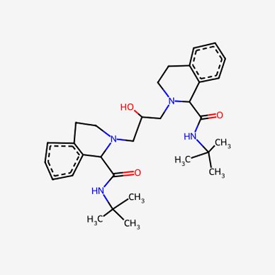 CC(C)(C)NC(=O)C1c2ccccc2CCN1CC(O)CN1CCc2ccccc2C1C(=O)NC(C)(C)C